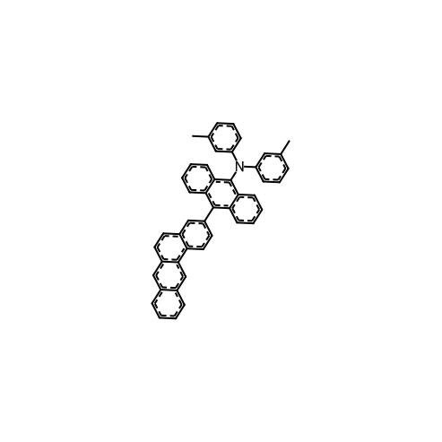 Cc1cccc(N(c2cccc(C)c2)c2c3ccccc3c(-c3ccc4c(ccc5cc6ccccc6cc54)c3)c3ccccc23)c1